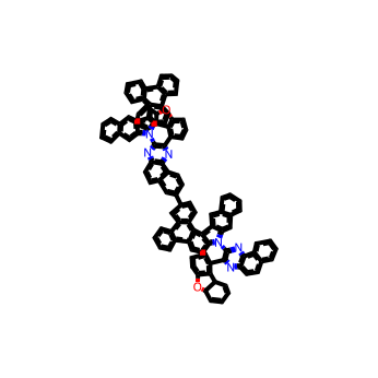 C1=CC2Oc3cccc(-c4nc5c(ccc6cc(-c7ccc8c(c7)c7ccccc7c7ccc9c(c%10cc%11ccccc%11cc%10n9-c9nc%10c(ccc%11ccccc%11%10)nc9-c9cccc%10c9C9C=CC=CC9O%10)c78)ccc65)nc4-n4c5cc6ccccc6cc5c5c6c7ccccc7c7ccccc7c6ccc54)c3C2C=C1